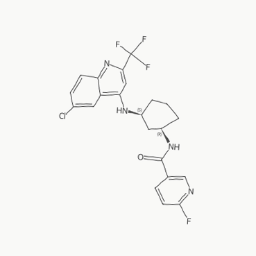 O=C(N[C@@H]1CCC[C@H](Nc2cc(C(F)(F)F)nc3ccc(Cl)cc23)C1)c1ccc(F)nc1